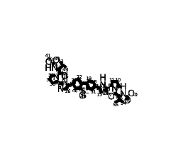 COC(=O)N[C@H](C(=O)N1CCC[C@H]1c1ncc(-c2ccc3c4ccc(-c5cnc([C@@H]6CCCN6C(=O)[C@@H](NC(=O)OC)C(C)C)[nH]5)cc4[s+]([O-])c3c2)[nH]1)C(C)C